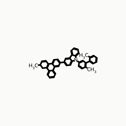 Cc1ccccc1-c1cc(-n2c3ccccc3c3cc(-c4ccc5c6c(c7ccccc7c5c4)CC(C)C=C6)ccc32)ccc1C